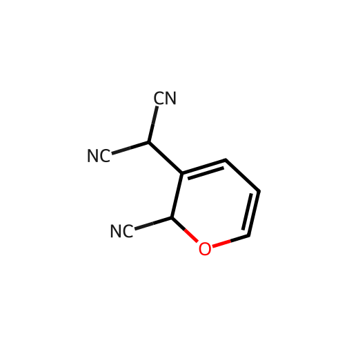 N#CC(C#N)C1=CC=COC1C#N